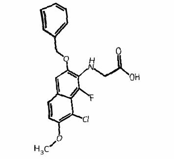 COc1ccc2cc(OCc3ccccc3)c(NCC(=O)O)c(F)c2c1Cl